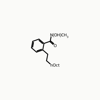 CCCCCCCCCCc1ccccc1C(=O)N(C)O